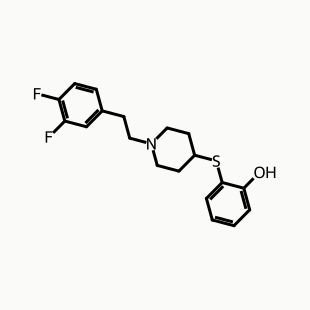 Oc1ccccc1SC1CCN(CCc2ccc(F)c(F)c2)CC1